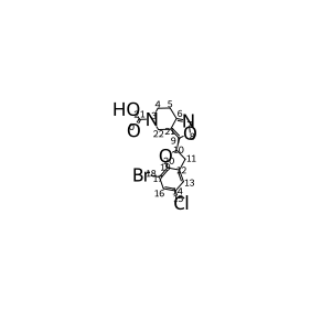 O=C(O)N1CCc2noc([C@H]3Cc4cc(Cl)cc(Br)c4O3)c2C1